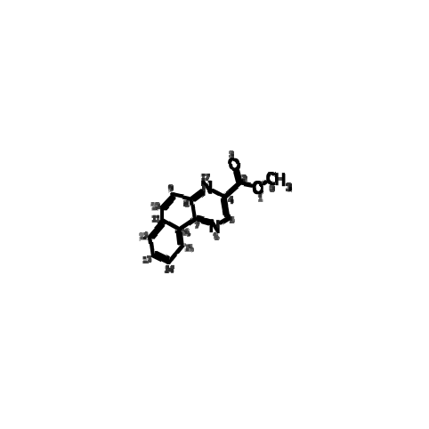 COC(=O)c1cnc2c(ccc3ccccc32)n1